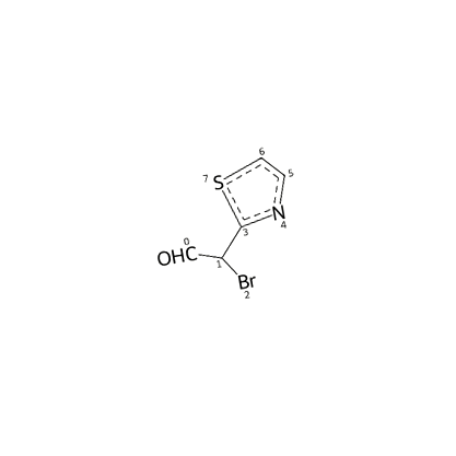 O=CC(Br)c1nccs1